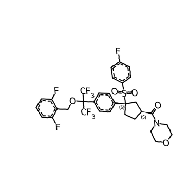 O=C([C@H]1CC[C@](c2ccc(C(OCc3c(F)cccc3F)(C(F)(F)F)C(F)(F)F)cc2)(S(=O)(=O)c2ccc(F)cc2)C1)N1CCOCC1